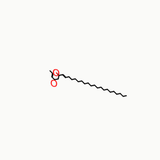 CCCCCCCCCCCCCCCCCCCC=CC1CC(=O)C=C(C)O1